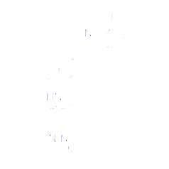 Cn1cc(S(=O)(=O)NCc2cc3c(cc2F)CC(N2CCC2)C3Cc2cccc(Cl)c2)cn1